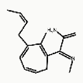 C=C(N)/C(=N/C)C1=C(C)C(C/C=C\C)=CC=CC1